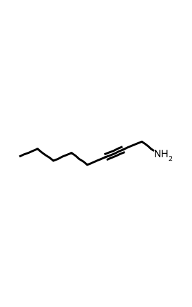 CCCCCC#CCN